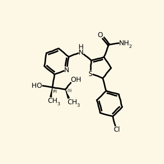 C[C@H](O)[C@](C)(O)c1cccc(NC2=C(C(N)=O)CC(c3ccc(Cl)cc3)S2)n1